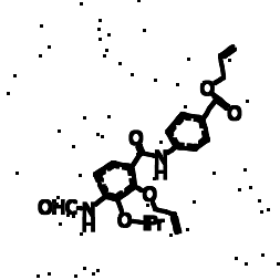 C=CCOC(=O)c1ccc(NC(=O)c2ccc(NC=O)c(OC(C)C)c2OCC=C)cc1